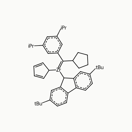 CC(C)c1cc([C](C2CCCC2)=[Zr]([CH]2C=CC=C2)[CH]2c3cc(C(C)(C)C)ccc3-c3ccc(C(C)(C)C)cc32)cc(C(C)C)c1